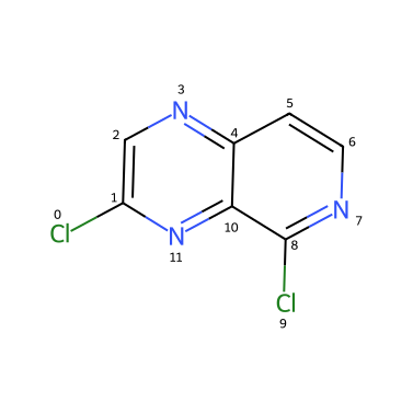 Clc1cnc2ccnc(Cl)c2n1